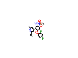 CCS(=O)(=O)Nc1ccc(Oc2ccc(F)cc2F)c(-c2cc(C)nc(C3CC3)c2)c1